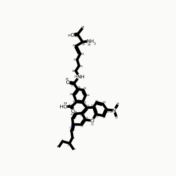 CCC(C)C/C=c1/ccc2c(c1)Oc1cc(N(C)C)ccc1C=2c1ccc(C(=O)NCCCC=CC(N)C(C)=O)cc1C(=O)O